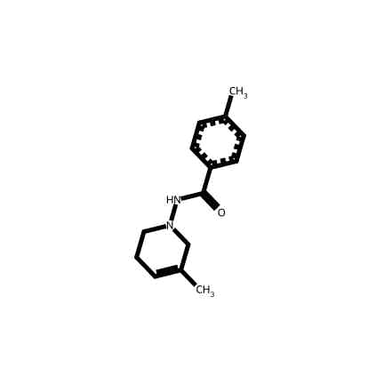 CC1=CCCN(NC(=O)c2ccc(C)cc2)C1